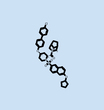 NC1C2CCC1CN(C(=O)[C@H]1C[C@H](Oc3ccc(-c4ccc(Cl)cc4)cc3)CCN1S(=O)(=O)c1ccc3cc(OC4CCCC4)ccc3c1)C2